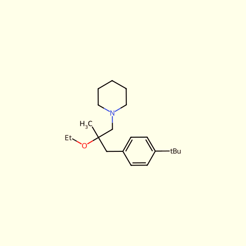 CCOC(C)(Cc1ccc(C(C)(C)C)cc1)CN1CCCCC1